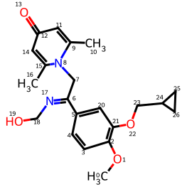 COc1ccc(/C(Cn2c(C)cc(=O)cc2C)=N\CO)cc1OCC1CC1